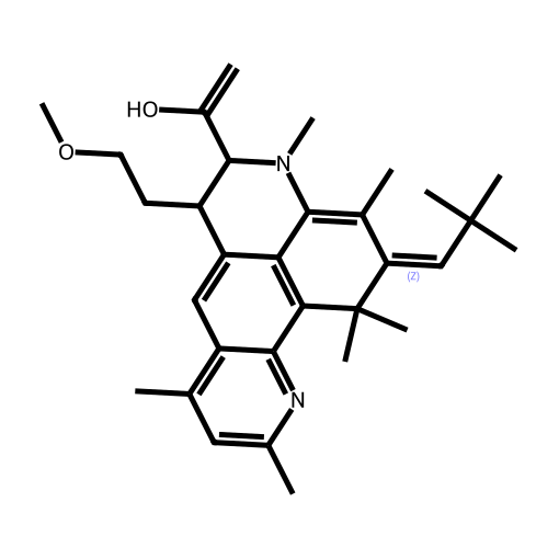 C=C(O)C1C(CCOC)c2cc3c(C)cc(C)nc3c3c2C(=C(C)/C(=C\C(C)(C)C)C3(C)C)N1C